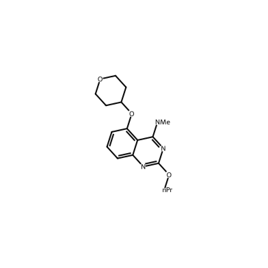 CCCOc1nc(NC)c2c(OC3CCOCC3)cccc2n1